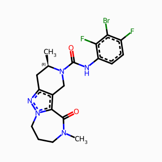 C[C@@H]1Cc2nn3c(c2CN1C(=O)Nc1ccc(F)c(Br)c1F)C(=O)N(C)CCC3